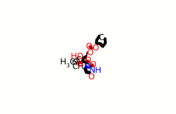 C[Si](C)(C)OC1[C@H](n2ccc(=O)[nH]c2=O)O[C@H](COC(=O)OC2/C=C/CCCCC2)[C@H]1O